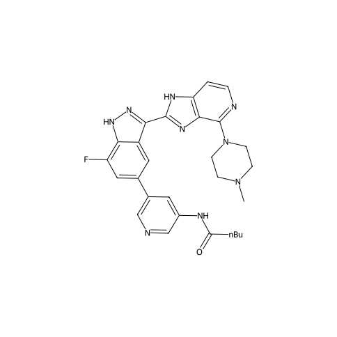 CCCCC(=O)Nc1cncc(-c2cc(F)c3[nH]nc(-c4nc5c(N6CCN(C)CC6)nccc5[nH]4)c3c2)c1